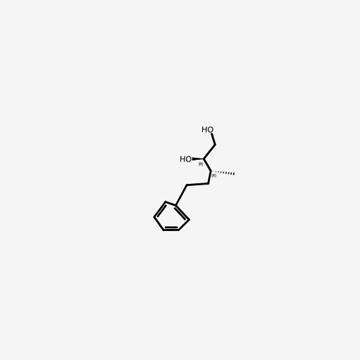 C[C@H](CCc1ccccc1)[C@@H](O)CO